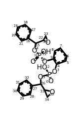 O=P(O)(Oc1ccccc1OP(=O)(O)OC(c1ccccc1)C1CO1)OC(c1ccccc1)C1CO1